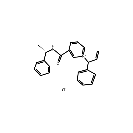 C=CC(c1ccccc1)[n+]1cccc(C(=O)N[C@@H](C)c2ccccc2)c1.[Cl-]